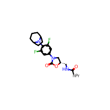 CCCC(=O)NC[C@H]1CN(c2cc(F)c(N3C4CCCC3CC4)c(F)c2)C(=O)O1